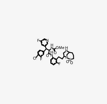 COC(=O)NC(C(=O)Nc1cccc(F)c1CCC1CNC2CCCS(=O)(=O)N1C2)C(c1cncc(F)c1)c1ccc(Cl)c(F)c1